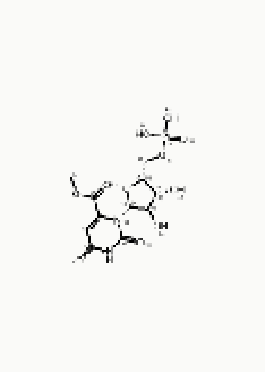 COC(=O)c1cc(=O)[nH]c(=O)n1[C@@H]1O[C@H](COP(=O)(O)O)[C@H](O)C1O